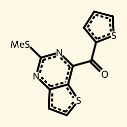 CSc1nc(C(=O)c2cccs2)c2sccc2n1